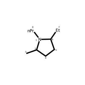 CCCN1C(C)CCC1CC